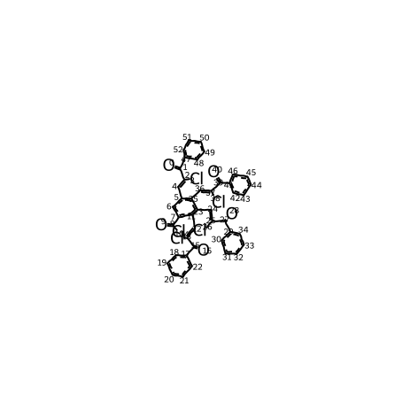 O=C(C(Cl)=Cc1cc(C(=O)Cl)c(C=C(Cl)C(=O)c2ccccc2)c(C=C(Cl)C(=O)c2ccccc2)c1C=C(Cl)C(=O)c1ccccc1)c1ccccc1